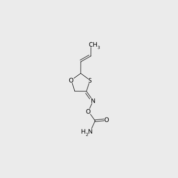 CC=CC1OCC(=NOC(N)=O)S1